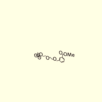 COC(=O)c1cccc(COCCOCCOS(C)(=O)=O)c1